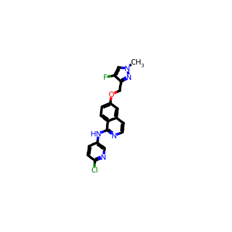 Cn1cc(F)c(COc2ccc3c(Nc4ccc(Cl)nc4)nccc3c2)n1